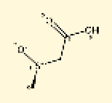 C[S@@+]([O-])CC(=O)O